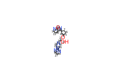 OC(COc1cccc(-c2noc3ncccc23)c1)CN1CCN(c2ncccn2)CC1